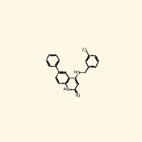 O=c1cc(NCc2cccc(Cl)c2)c2cc(-c3ccccc3)ccc2[nH]1